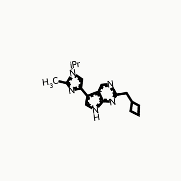 Cc1nc(-c2c[nH]c3nc(CC4CCC4)ncc23)cn1C(C)C